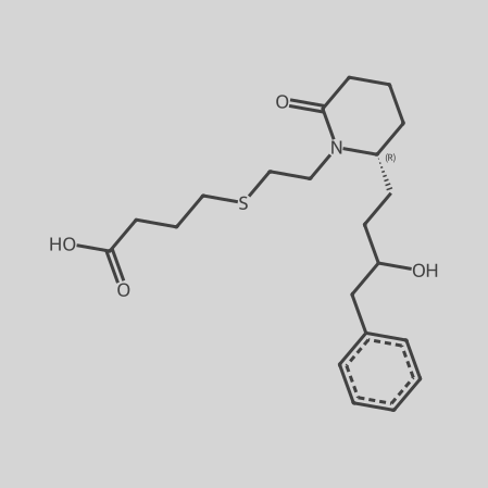 O=C(O)CCCSCCN1C(=O)CCC[C@@H]1CCC(O)Cc1ccccc1